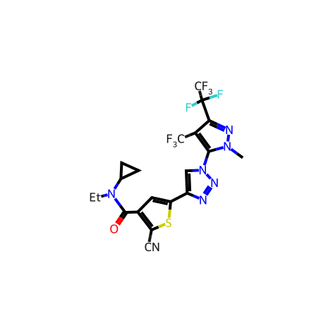 CCN(C(=O)c1cc(-c2cn(-c3c(C(F)(F)F)c(C(F)(F)C(F)(F)F)nn3C)nn2)sc1C#N)C1CC1